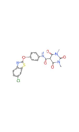 CN1C(=O)C(C(=O)Nc2ccc(Oc3nc4ccc(Cl)cc4s3)cc2)C(=O)N(C)C1=O